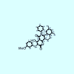 COc1cccc(Sc2c(O)c3c(=O)n(-c4ccccc4)c4c(c3oc2=O)CCc2c(C)cc(C)cc2-4)c1